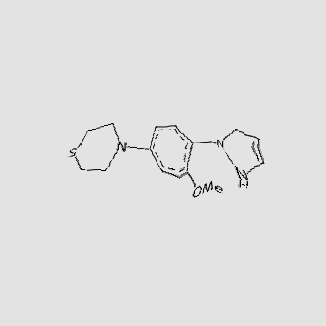 COc1cc(N2CCSCC2)ccc1N1CC=CN1